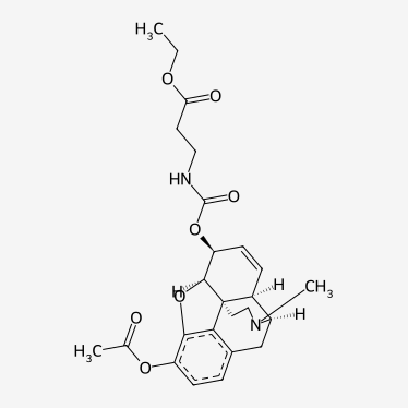 CCOC(=O)CCNC(=O)O[C@H]1C=C[C@H]2[C@H]3Cc4ccc(OC(C)=O)c5c4[C@@]2(CCN3C)[C@H]1O5